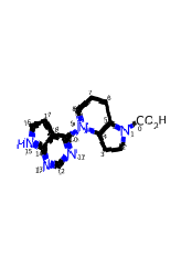 O=C(O)N1CCC2C1CCCN2c1ncnc2[nH]ccc12